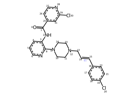 O=C(Nc1cccnc1N1CCN(C/C=C/c2ccc(Cl)cc2)CC1)c1ccnc(Cl)c1